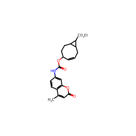 CCOC(=O)C1C2C/C=C\C(OC(=O)Nc3ccc4c(C)cc(=O)oc4c3)CCC21